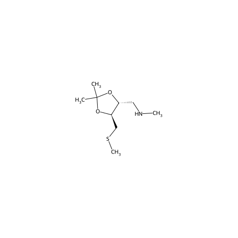 CNC[C@H]1OC(C)(C)O[C@@H]1CSC